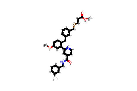 CC(C)Oc1ccc(Cc2cccc(CSCCC(=O)OC(C)(C)C)c2)c(-c2cc(C(=O)NCc3cccc(C(F)(F)F)c3)ccn2)c1